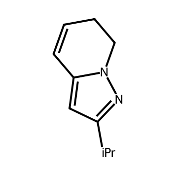 CC(C)c1cc2n(n1)CCC=C2